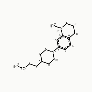 CC(C)OCCC1CCN(c2ccc3c(c2)N(C(C)C)CCC3)CC1